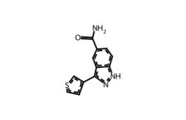 NC(=O)c1ccc2[nH]nc(-c3ccsc3)c2c1